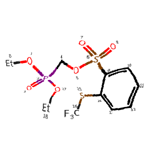 CCOP(=O)(COS(=O)(=O)c1ccccc1SC(F)(F)F)OCC